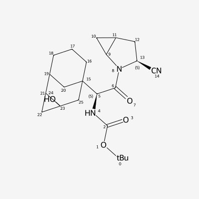 CC(C)(C)OC(=O)N[C@H](C(=O)N1C2CC2C[C@H]1C#N)C12CCCC(C1)C1CC1(O)C2